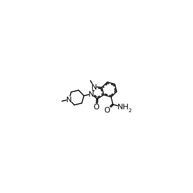 CN1CCC(n2c(=O)c3c(C(N)=O)cccc3n2C)CC1